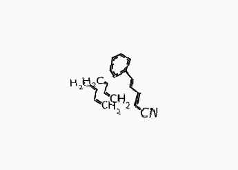 C=CC=C.C=CC=C.N#CC=CC=Cc1ccccc1